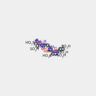 CN=Nc1c(S(=O)(=O)O)cc2cc(S(=O)(=O)O)cc(Nc3nc(O)nc(Nc4ccc(Nc5nc(O)nc(Nc6cc(S(=O)(=O)O)cc7cc(S(=O)(=O)O)c(N=Nc8ccc9c(S(=O)(=O)O)cccc9c8S(=O)(=O)O)c(O)c67)n5)cc4)n3)c2c1O